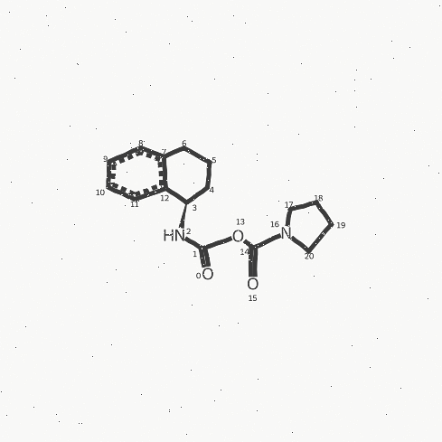 O=C(N[C@@H]1CCCc2ccccc21)OC(=O)N1CCCC1